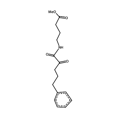 COC(=O)CCCNC(=O)C(=O)CCCc1ccccc1